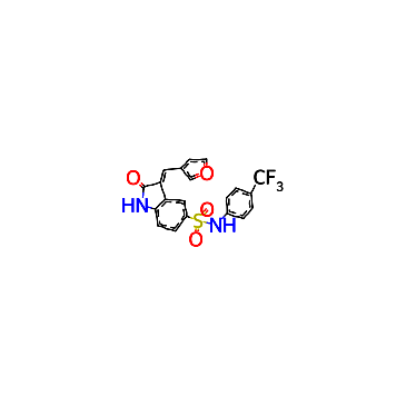 O=C1Nc2ccc(S(=O)(=O)Nc3ccc(C(F)(F)F)cc3)cc2C1=Cc1ccoc1